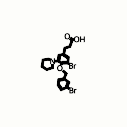 O=C(O)CCc1cc(Br)c(OCc2cccc(Br)c2)c(N2CCCCC2)c1